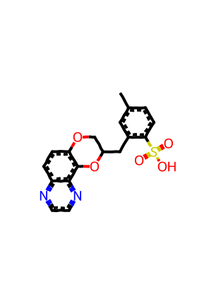 Cc1ccc(S(=O)(=O)O)c(CC2COc3ccc4nccnc4c3O2)c1